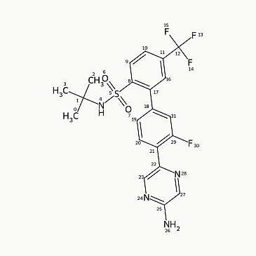 CC(C)(C)NS(=O)(=O)c1ccc(C(F)(F)F)cc1-c1ccc(-c2cnc(N)cn2)c(F)c1